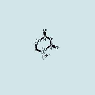 ClCCl.O=[PH]([O-])O[PH](=O)[O-].[Pd+2]